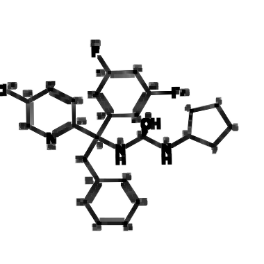 O[C@@H](NC1CCCC1)NC(Cc1ccccc1)(c1cc(F)cc(F)c1)c1ccc(Cl)cn1